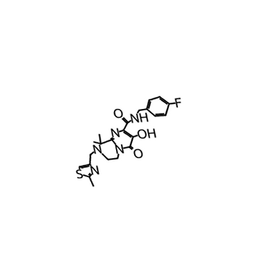 Cc1nc(CN2CCn3c(nc(C(=O)NCc4ccc(F)cc4)c(O)c3=O)C2(C)C)cs1